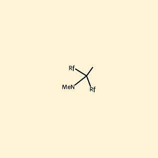 CN[C](C)([Rf])[Rf]